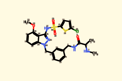 CNC(C)C(=O)NCc1cccc(Cn2nc(NS(=O)(=O)c3ccc(Cl)s3)c3c(OC)cccc32)c1